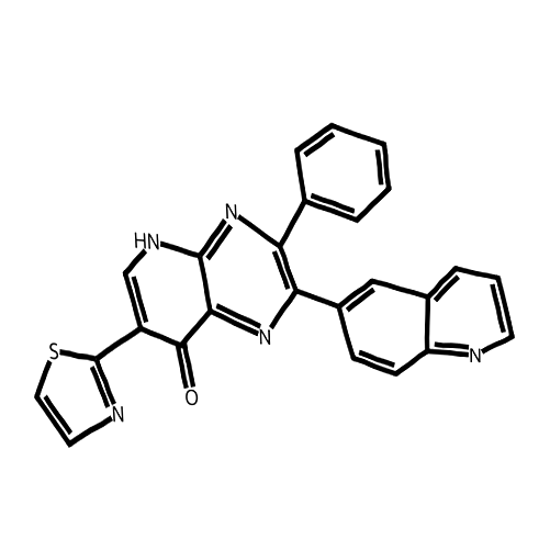 O=c1c(-c2nccs2)c[nH]c2nc(-c3ccccc3)c(-c3ccc4ncccc4c3)nc12